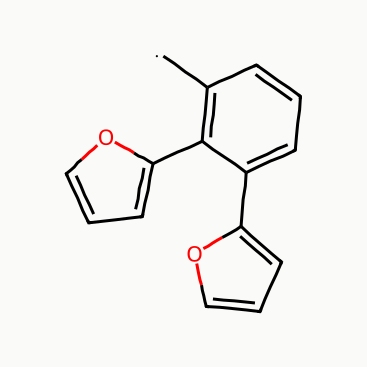 [CH2]c1cccc(-c2ccco2)c1-c1ccco1